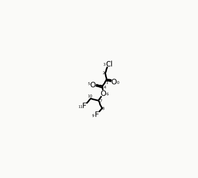 O=C(CCl)C(=O)OC(CF)CF